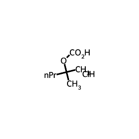 CCCC(C)(C)OC(=O)O.Cl